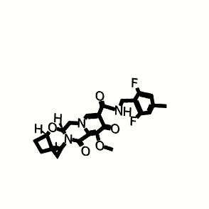 COc1c2n(cc(C(=O)NCc3c(F)cc(C)cc3F)c1=O)C[C@H]1O[C@@H]3CCC34C[C@H]4N1C2=O